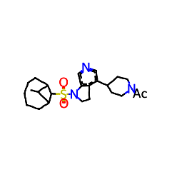 CC(=O)N1CCC(c2cncc3c2CCN3S(=O)(=O)C2C3CCCCCC2C3C)CC1